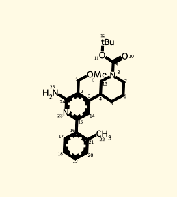 COCc1c(C2CCCN(C(=O)OC(C)(C)C)C2)cc(-c2ccccc2C)nc1N